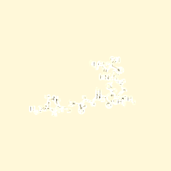 C[C@H](NP1(=O)OCC(C)(C)[C@H](C(=O)NCCC(=O)OCc2cn(C)cn2)O1)C(=O)O